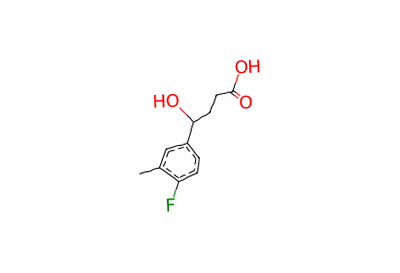 Cc1cc(C(O)CCC(=O)O)ccc1F